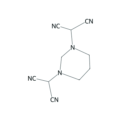 N#CC(C#N)N1CCCN(C(C#N)C#N)C1